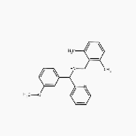 COc1cccc(C(NCc2c(C)cccc2C)c2ccccn2)c1